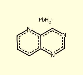 [PbH2].c1cnc2cncnc2c1